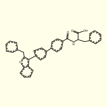 O=C(NC(Cc1ccccc1)C(=O)O)c1ccc(-c2ccc(-c3c(Cc4ccccc4)oc4ccccc34)cc2)cc1